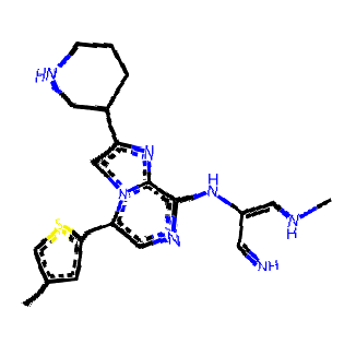 CN/C=C(\C=N)Nc1ncc(-c2cc(C)cs2)n2cc(C3CCCNC3)nc12